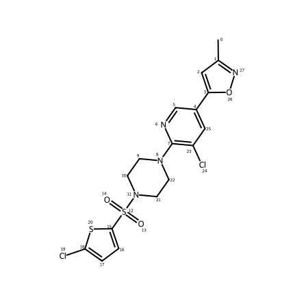 Cc1cc(-c2cnc(N3CCN(S(=O)(=O)c4ccc(Cl)s4)CC3)c(Cl)c2)on1